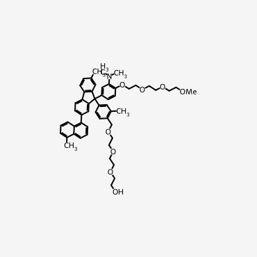 COCCOCCOCCOc1ccc(C2(c3ccc(COCCOCCOCCO)c(C)c3)c3cc(C)ccc3-c3ccc(-c4cccc5c(C)cccc45)cc32)cc1N(C)C